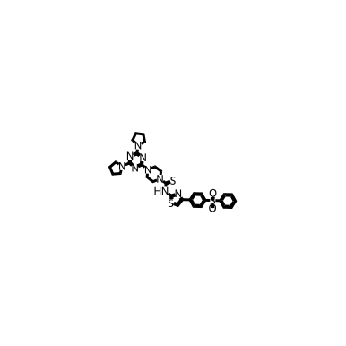 O=S(=O)(c1ccccc1)c1ccc(-c2csc(NC(=S)N3CCN(c4nc(N5CCCC5)nc(N5CCCC5)n4)CC3)n2)cc1